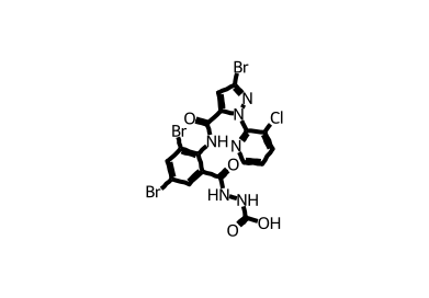 O=C(O)NNC(=O)c1cc(Br)cc(Br)c1NC(=O)c1cc(Br)nn1-c1ncccc1Cl